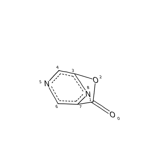 O=C1Oc2cncc1n2